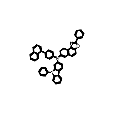 C1=C(N(c2ccc(-c3cccc4ccccc34)cc2)c2ccc3c4ccccc4n(-c4ccccc4)c3c2)CCc2c1ccc1oc(-c3ccccc3)nc21